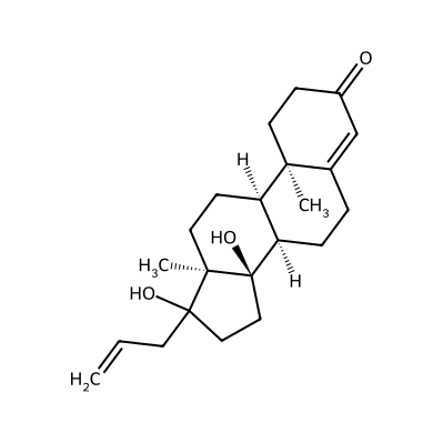 C=CCC1(O)CC[C@@]2(O)[C@@H]3CCC4=CC(=O)CC[C@]4(C)[C@@H]3CC[C@]12C